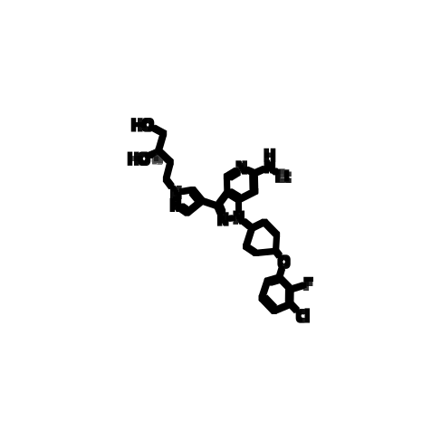 CCNc1cc2c(cn1)c(-c1cnn(CC[C@@H](O)CO)c1)nn2C1CCC(Oc2cccc(Cl)c2F)CC1